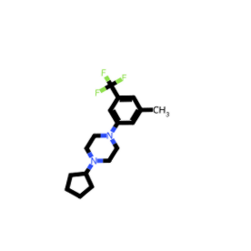 Cc1cc(N2CCN(C3CCCC3)CC2)cc(C(F)(F)F)c1